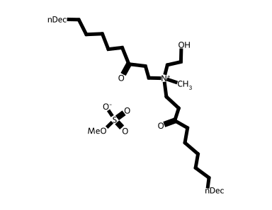 CCCCCCCCCCCCCCCC(=O)CC[N+](C)(CCO)CCC(=O)CCCCCCCCCCCCCCC.COS(=O)(=O)[O-]